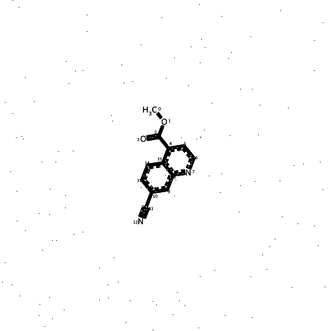 COC(=O)c1ccnc2cc(C#N)ccc12